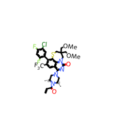 C=CC(=O)N1[C@H](C)CN(c2nc(=O)n3c4c(c(-c5cc(Cl)c(F)cc5F)c(C(F)(F)F)cc24)SCC(COC)(COC)C3)C[C@@H]1C